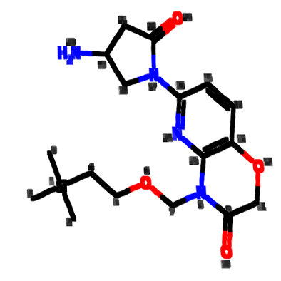 C[Si](C)(C)CCOCN1C(=O)COc2ccc(N3CC(N)CC3=O)nc21